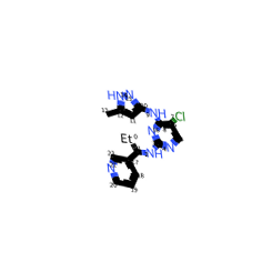 CCC(Nc1ncc(Cl)c(Nc2cc(C)[nH]n2)n1)c1cccnc1